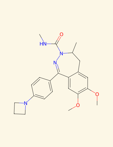 CNC(=O)N1N=C(c2ccc(N3CCC3)cc2)c2cc(OC)c(OC)cc2CC1C